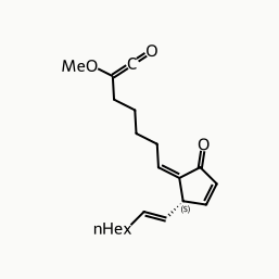 CCCCCCC=C[C@H]1C=CC(=O)C1=CCCCCC(=C=O)OC